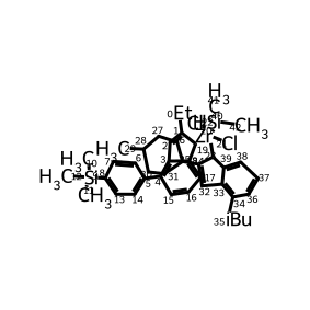 CCC1=Cc2c(-c3ccc([Si](C)(C)C)cc3)cccc2[CH]1[Zr]([Cl])([Cl])([CH]1C(C2CCC(C)CC2)=Cc2c(C(C)CC)cccc21)[SiH](C)C